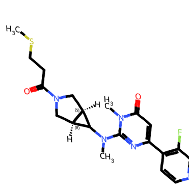 CSCCC(=O)N1C[C@@H]2C(N(C)c3nc(-c4ccncc4F)cc(=O)n3C)[C@@H]2C1